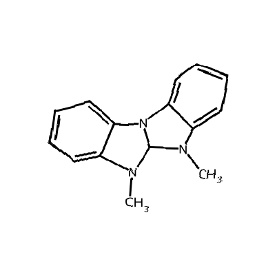 CN1c2ccccc2N2c3ccccc3N(C)C12